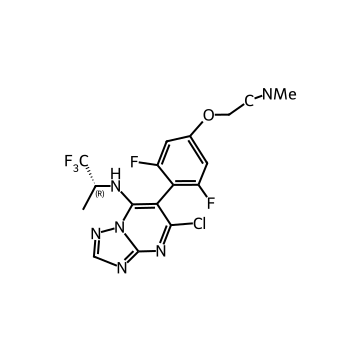 CNCCOc1cc(F)c(-c2c(Cl)nc3ncnn3c2N[C@H](C)C(F)(F)F)c(F)c1